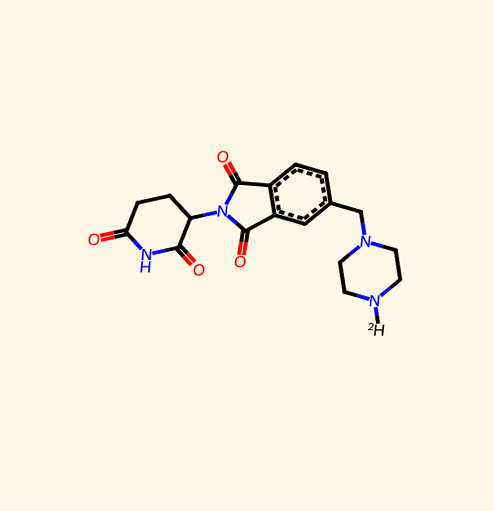 [2H]N1CCN(Cc2ccc3c(c2)C(=O)N(C2CCC(=O)NC2=O)C3=O)CC1